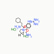 Cl.Cl.N=C(N)Nc1ccc(C[N+]2(C(=O)[C@H](N)CC3CCCCC3)CC[C@@H]3C[C@@]32C(N)=O)cc1